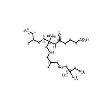 CCCCC[C@@](CNCC(C)CNC[C@@](N)(CC)CN)(NCC(C)C[C@H](C)CC)NC(=O)CCCC(=O)O